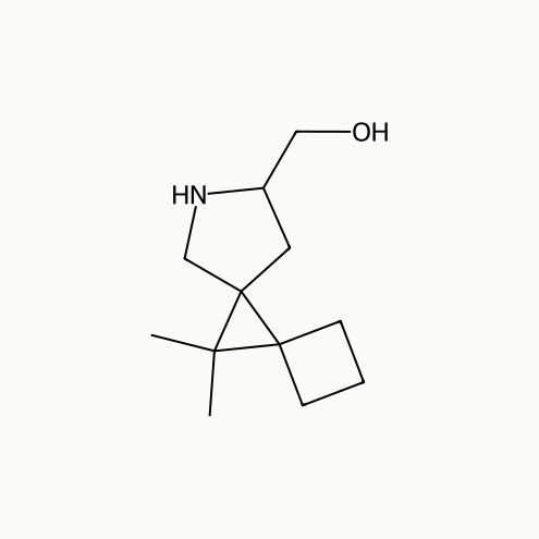 CC1(C)C2(CCC2)C12CNC(CO)C2